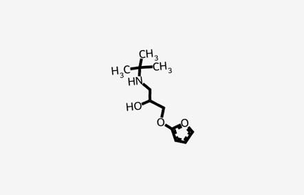 CC(C)(C)NCC(O)COc1ccco1